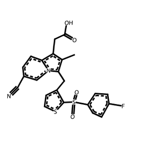 Cc1c(CC(=O)O)c2ccc(C#N)cn2c1Cc1ccsc1S(=O)(=O)c1ccc(F)cc1